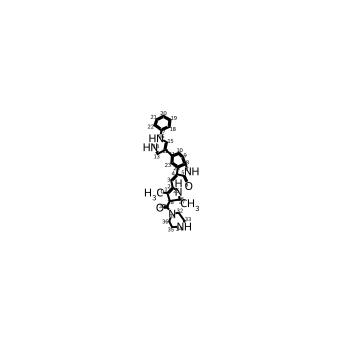 CC1=C(/C=C2\C(=O)Nc3ccc(/C(C=N)=C/Nc4ccccc4)cc32)NC(C)C1C(=O)N1CCNCC1